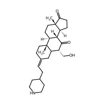 C[C@]12CC/C(=C/CC3CCNCC3)CC1[C@@H](CO)C(=O)[C@@H]1[C@@H]2CC[C@]2(C)C(=O)CC[C@@H]12